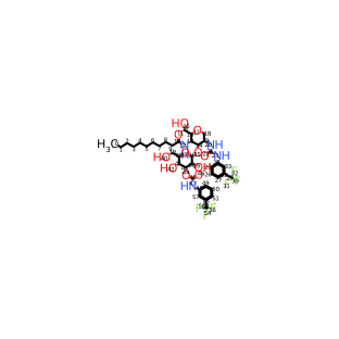 CCCCCCCCCCC(=O)N[C@H]1C(CO)OCC(NC(=O)Nc2cccc(C(F)(F)F)c2)[C@H]1O[C@H]1OC(CO)[C@H](O)[C@H](OC(=O)Nc2cccc(C(F)(F)F)c2)C1O